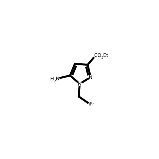 CCOC(=O)c1cc(N)n(CC(C)C)n1